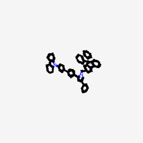 C1=CC([C@]2(c3ccccc3)c3ccccc3-c3ccc(Cn4cc(-c5ccccc5)cc4-c4ccc(-c5ccc(-n6c7c(c8ccccc86)C=CCC7)cc5)cc4)cc32)=CCC1